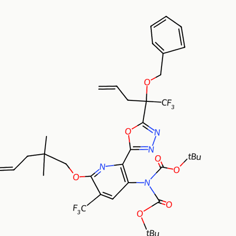 C=CCC(C)(C)COc1nc(-c2nnc(C(CC=C)(OCc3ccccc3)C(F)(F)F)o2)c(N(C(=O)OC(C)(C)C)C(=O)OC(C)(C)C)cc1C(F)(F)F